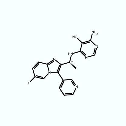 C[C@H](Nc1ncnc(N)c1C#N)c1nc2ccc(F)cn2c1-c1cccnc1